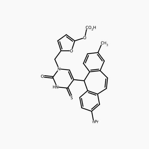 CCCc1ccc2c(c1)C=Cc1cc(C)ccc1C2c1cn(Cc2ccc(OC(=O)O)o2)c(=O)[nH]c1=S